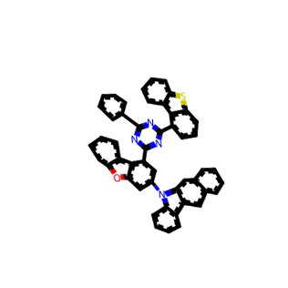 c1ccc(-c2nc(-c3cc(-n4c5ccccc5c5cc6ccccc6cc54)cc4oc5ccccc5c34)nc(-c3cccc4sc5ccccc5c34)n2)cc1